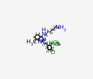 Cc1cccc2c(NCCCCCCN)nc(/C=C/c3ccc(Cl)cc3)nc12.Cl.Cl